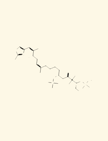 CC(=CC[C@H](O)C(C)=Cc1csc(C)n1)CCC[C@H](C)[C@H](O[Si](C)(C)C(C)(C)C)[C@@H](C)C(=O)C(C)(C)[C@H](CC(=O)O)O[Si](C)(C)C(C)(C)C